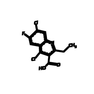 CCc1nc2cc(Cl)c(F)cc2c(Cl)c1C(=O)O